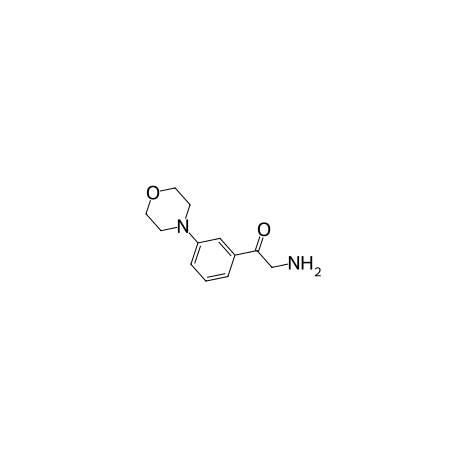 NCC(=O)c1cccc(N2CCOCC2)c1